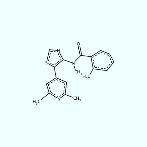 Cc1cc(-c2scnc2N(C)C(=O)c2ccccc2C)cc(C)n1